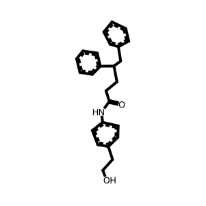 O=C(CCC(Cc1ccccc1)c1ccccc1)Nc1ccc(CCO)cc1